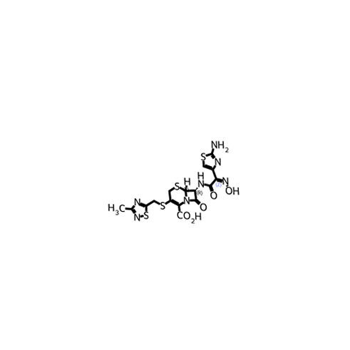 Cc1nsc(CSC2=C(C(=O)O)N3C(=O)[C@@H](NC(=O)/C(=N\O)c4csc(N)n4)[C@H]3SC2)n1